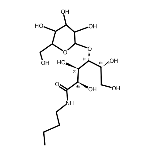 CCCCNC(=O)[C@H](O)[C@@H](O)[C@H](OC1OC(CO)C(O)C(O)C1O)[C@H](O)CO